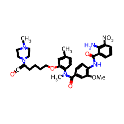 COc1cc(C(=O)N(C)c2ccc(C)cc2OCCCCC(=C=O)N2CCN(C)CC2)ccc1NC(=O)c1cccc([N+](=O)[O-])c1N